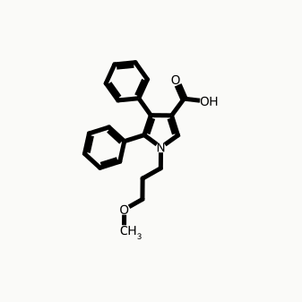 COCCCn1cc(C(=O)O)c(-c2ccccc2)c1-c1ccccc1